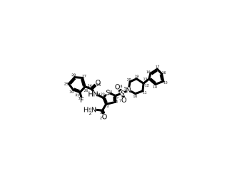 NC(=O)c1cc(S(=O)(=O)N2CCC(c3ccccc3)CC2)sc1NC(=O)c1ccccc1F